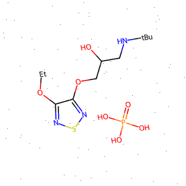 CCOc1nsnc1OCC(O)CNC(C)(C)C.O=P(O)(O)O